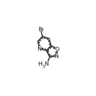 Nc1noc2cc(Br)cnc12